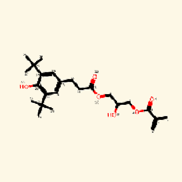 C=C(C)C(=O)OCC(O)COC(=O)CCc1cc(C(C)(C)C)c(O)c(C(C)(C)C)c1